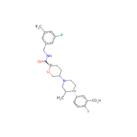 CC1CN(C2CC[C@H](C(=O)NCc3cc(F)cc(C(F)(F)F)c3)OC2)CC[C@@H]1c1ccc(F)c(C(=O)O)c1